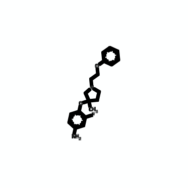 CC1(Oc2ccc(N)cc2F)CCN(CCOc2ccccc2)C1